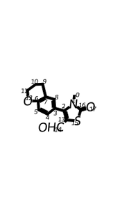 Cn1c(-c2ccc3c(c2)CCCO3)c(C=O)sc1=O